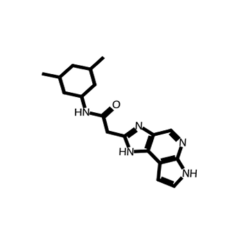 CC1CC(C)CC(NC(=O)Cc2nc3cnc4[nH]ccc4c3[nH]2)C1